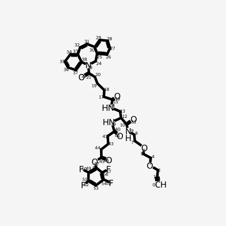 C#CCOCCOCCNC(=O)C(CNC(=O)CCCCC(=O)N1Cc2ccccc2/C=C\c2ccccc21)NC(=O)CCCC(=O)Oc1c(F)c(F)cc(F)c1F